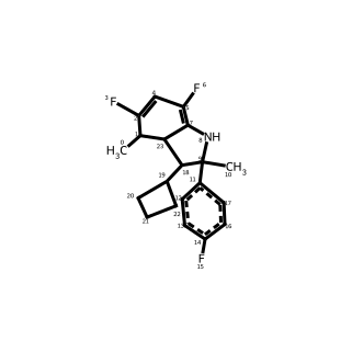 CC1C(F)=CC(F)=C2NC(C)(c3ccc(F)cc3)C(C3CCC3)C21